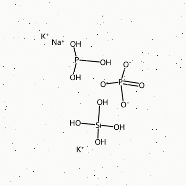 O=P([O-])([O-])[O-].OP(O)O.O[Si](O)(O)O.[K+].[K+].[Na+]